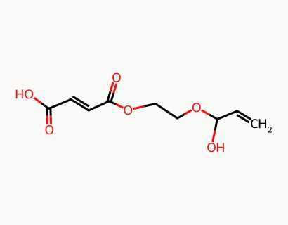 C=CC(O)OCCOC(=O)/C=C/C(=O)O